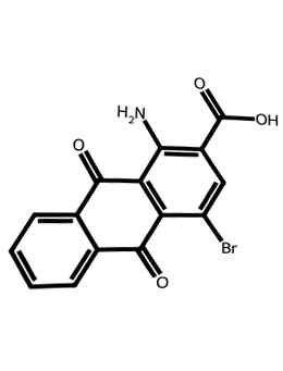 Nc1c(C(=O)O)cc(Br)c2c1C(=O)c1ccccc1C2=O